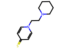 S=c1ccn(CCN2CCCCC2)cc1